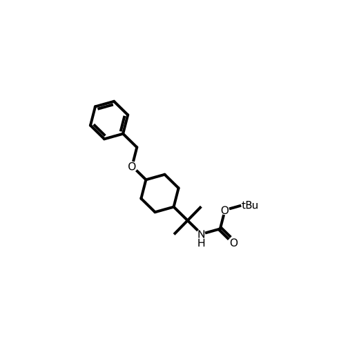 CC(C)(C)OC(=O)NC(C)(C)C1CCC(OCc2ccccc2)CC1